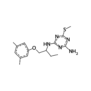 CCC(COc1cc(C)cc(C)c1)Nc1nc(N)nc(SC)n1